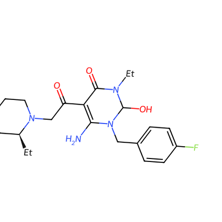 CC[C@H]1CCCCN1CC(=O)C1=C(N)N(Cc2ccc(F)cc2)C(O)N(CC)C1=O